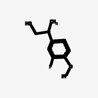 C[C](CO)c1ccc(OC(C)C)c(F)c1